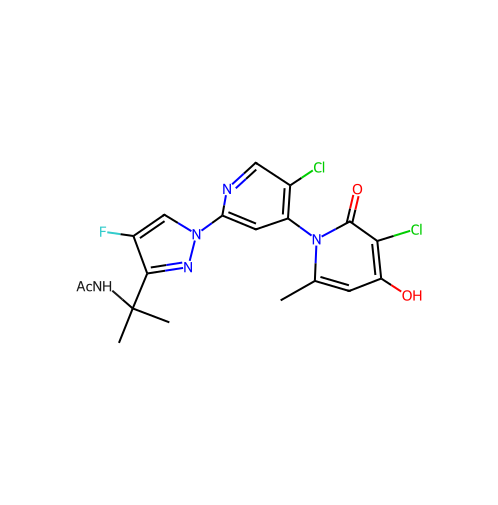 CC(=O)NC(C)(C)c1nn(-c2cc(-n3c(C)cc(O)c(Cl)c3=O)c(Cl)cn2)cc1F